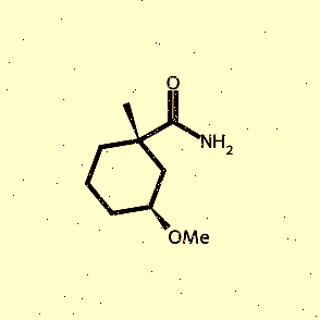 CO[C@H]1CCC[C@](C)(C(N)=O)C1